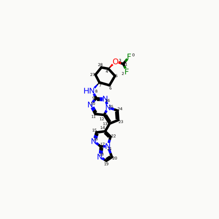 FC(F)O[C@H]1CC[C@@H](Nc2ncc3c(-c4cnc5nccn5c4)ccn3n2)CC1